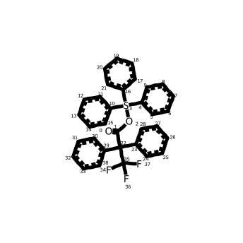 O=C(OS(c1ccccc1)(c1ccccc1)c1ccccc1)C(c1ccccc1)(c1ccccc1)C(F)(F)F